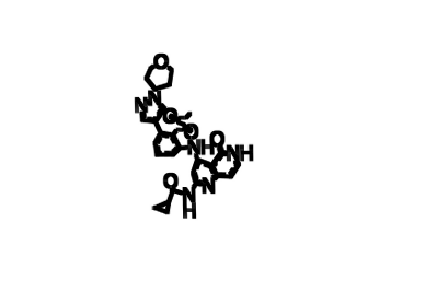 CS(=O)(=O)c1c(Nc2cc(NC(=O)C3CC3)nc3cc[nH]c(=O)c23)cccc1-c1cnn(C2CCOCC2)c1